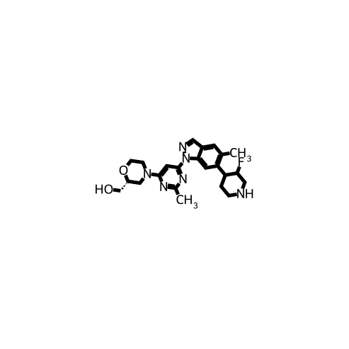 Cc1nc(N2CCO[C@@H](CO)C2)cc(-n2ncc3cc(C)c(C4CCNCC4F)cc32)n1